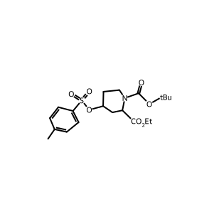 CCOC(=O)C1CC(OS(=O)(=O)c2ccc(C)cc2)CCN1C(=O)OC(C)(C)C